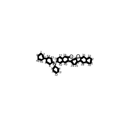 c1ccc(-c2ccc(N(c3ccccc3)c3ccc4cc5oc6c(ccc7c8cc9ccccc9cc8oc76)c5cc4c3)cc2)cc1